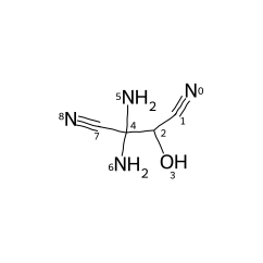 N#CC(O)C(N)(N)C#N